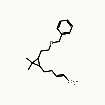 CC1(C)C(CCC=CC(=O)O)C1CCOCc1ccccc1